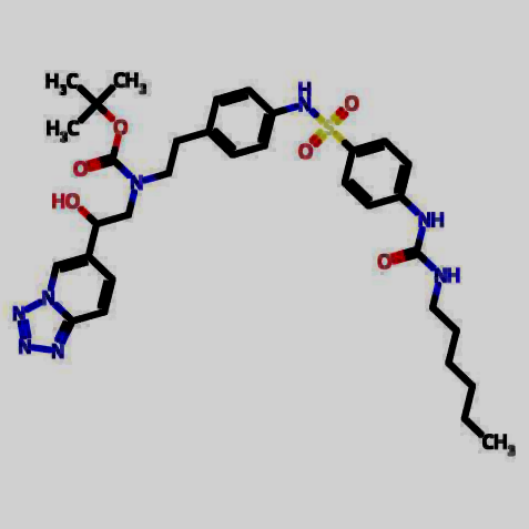 CCCCCCNC(=O)Nc1ccc(S(=O)(=O)Nc2ccc(CCN(CC(O)c3ccc4nnnn4c3)C(=O)OC(C)(C)C)cc2)cc1